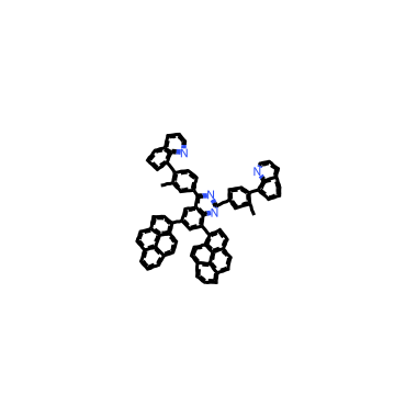 Cc1cc(-c2nc(-c3ccc(-c4cccc5cccnc45)c(C)c3)c3cc(-c4ccc5ccc6cccc7ccc4c5c67)cc(-c4ccc5ccc6cccc7ccc4c5c67)c3n2)ccc1-c1cccc2cccnc12